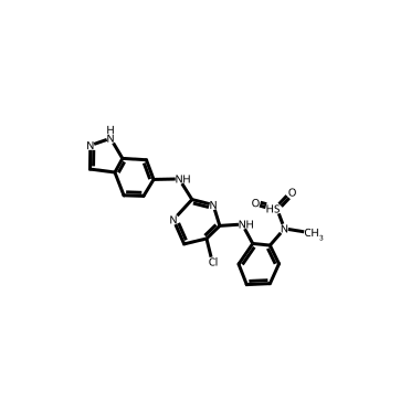 CN(c1ccccc1Nc1nc(Nc2ccc3cn[nH]c3c2)ncc1Cl)[SH](=O)=O